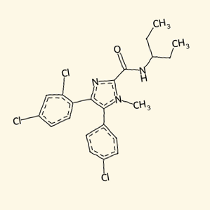 CCC(CC)NC(=O)c1nc(-c2ccc(Cl)cc2Cl)c(-c2ccc(Cl)cc2)n1C